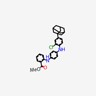 COC(=O)c1ccccc1Nc1ccc(Nc2ccc(C34CC5CC(CC(C5)C3)C4)cc2Cl)cc1